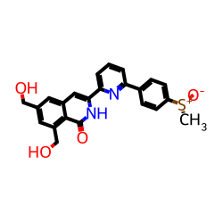 C[S+]([O-])c1ccc(-c2cccc(-c3cc4cc(CO)cc(CO)c4c(=O)[nH]3)n2)cc1